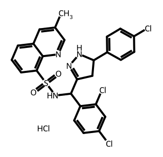 Cc1cnc2c(S(=O)(=O)NC(C3=NNC(c4ccc(Cl)cc4)C3)c3ccc(Cl)cc3Cl)cccc2c1.Cl